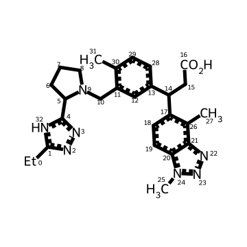 CCc1nnc(C2CCCN2Cc2cc(C(CC(=O)O)c3ccc4c(nnn4C)c3C)ccc2C)[nH]1